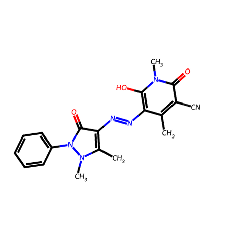 Cc1c(/N=N/c2c(C)n(C)n(-c3ccccc3)c2=O)c(O)n(C)c(=O)c1C#N